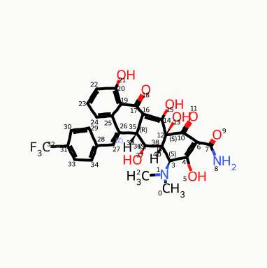 CN(C)[C@@H]1C(O)=C(C(N)=O)C(=O)[C@@]2(O)C(O)=C3C(=O)c4c(O)cccc4/C(=C\c4ccc(C(F)(F)F)cc4)[C@H]3[C@H](O)[C@@H]12